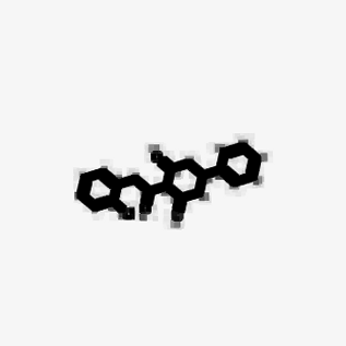 O=C(Cc1ccccc1Cl)C1C(=O)CC(c2ccccc2)CC1=O